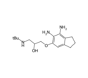 CC(C)(C)NCC(O)COc1cc2c(c(N)c1N)CCC2